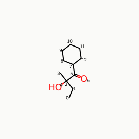 CCC(C)(O)C(=O)C1CCCCC1